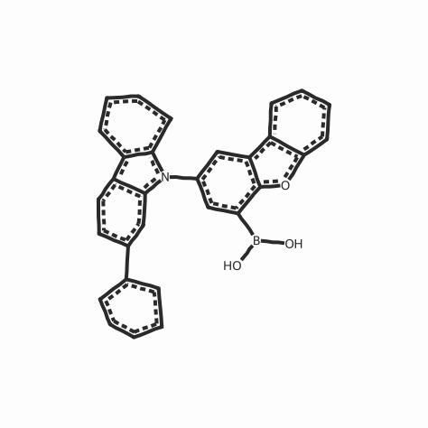 OB(O)c1cc(-n2c3ccccc3c3ccc(-c4ccccc4)cc32)cc2c1oc1ccccc12